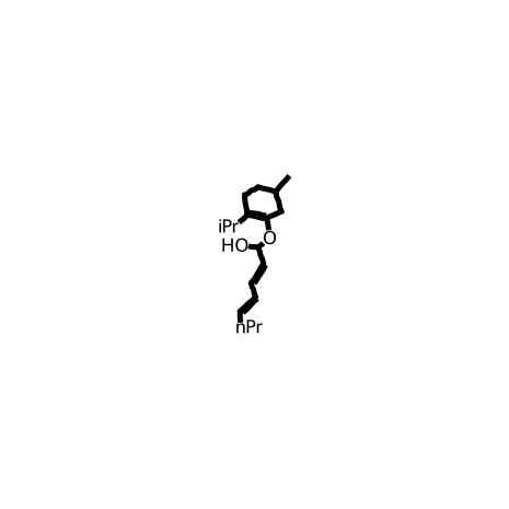 CCCC=CC=CC(O)OC1=C(C(C)C)CCC(C)C1